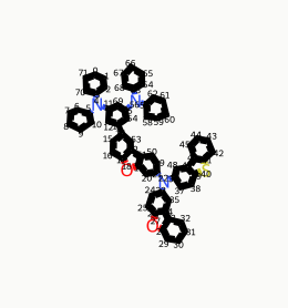 c1ccc(N(c2ccccc2)c2cc(-c3ccc4oc5cc(N(c6ccc7oc8ccccc8c7c6)c6ccc7sc8ccccc8c7c6)ccc5c4c3)cc(N(c3ccccc3)c3ccccc3)c2)cc1